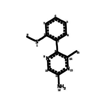 CSc1ccccc1-c1ncc(N)nc1C